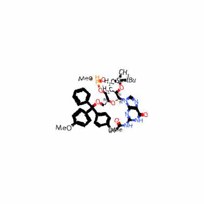 COc1ccc(C(OC[C@H](CO[PH](=O)OC)O[C@H]([C@H](C)O[Si](C)(C)C(C)(C)C)n2cnc3c(=O)[nH]c(NC(=O)C(C)C)nc32)(c2ccccc2)c2ccc(OC)cc2)cc1